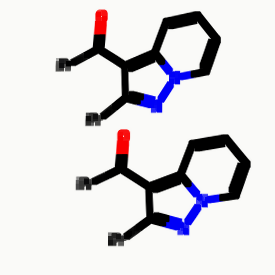 CC(C)C(=O)c1c(C(C)C)nn2ccccc12.CC(C)C(=O)c1c(C(C)C)nn2ccccc12